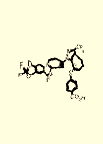 C[C@H](Oc1cc(-n2nc(C(F)(F)F)c3c2[C@@H](Sc2ccc(C(=O)O)cc2)CCC3)ccn1)c1ccc2c(c1)OC(F)(F)O2